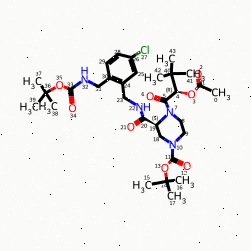 CC(=O)O[C@@H](C(=O)N1CCN(C(=O)OC(C)(C)C)C[C@H]1C(=O)NCc1cc(Cl)ccc1CNC(=O)OC(C)(C)C)C(C)(C)C